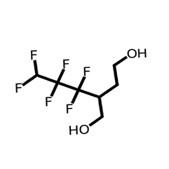 OCCC(CO)C(F)(F)C(F)(F)C(F)F